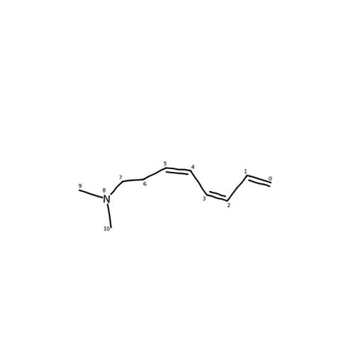 C=C/C=C\C=C/CCN(C)C